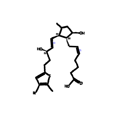 Cc1sc(CC[C@H](O)/C=C/[C@H]2C(C)CC(O)[C@@H]2C/C=C\CCCC(=O)O)cc1Br